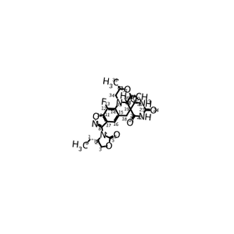 CC[C@H]1COC(=O)N1c1noc2c(F)c3c(cc12)CC1(C(=O)NC(=O)NC1=O)[C@H]1[C@H](C)O[C@H](C)CN31